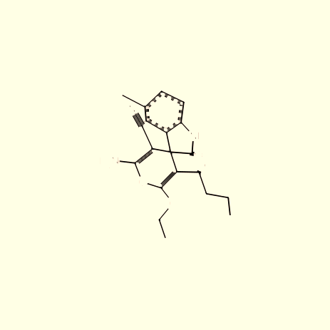 CCCC(=O)C1=C(OCC)OC(N)=C(C#N)C12C(=O)Nc1ccc(C)cc12